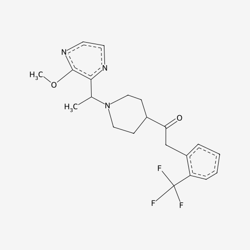 COc1nccnc1C(C)N1CCC(C(=O)Cc2ccccc2C(F)(F)F)CC1